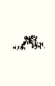 CCCC[C@H](NC(O)C(N[C@H](C)O)C(C)C)C(=O)NCCCC(N)=O